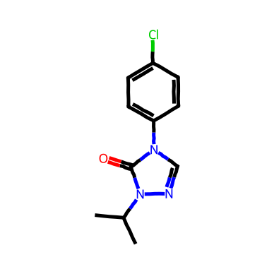 CC(C)n1ncn(-c2ccc(Cl)cc2)c1=O